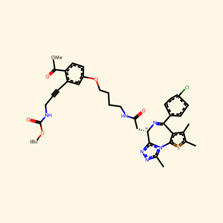 COC(=O)c1ccc(OCCCCNC(=O)C[C@@H]2N=C(c3ccc(Cl)cc3)c3c(sc(C)c3C)-n3c(C)nnc32)cc1C#CCNC(=O)OC(C)(C)C